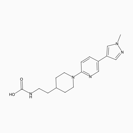 Cn1cc(-c2ccc(N3CCC(CCNC(=O)O)CC3)nc2)cn1